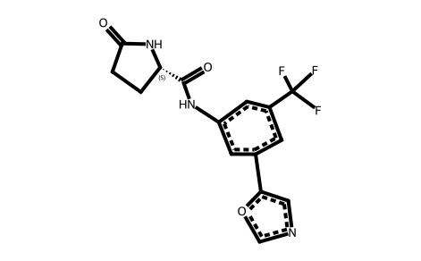 O=C1CC[C@@H](C(=O)Nc2cc(-c3cnco3)cc(C(F)(F)F)c2)N1